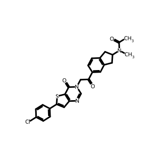 CC(=O)N(C)C1Cc2ccc(C(=O)Cn3cnc4cc(-c5ccc(Cl)cc5)sc4c3=O)cc2C1